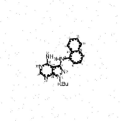 CC(C)(C)n1nc(Nc2cccc3ccccc23)c2c(N)ncnc21